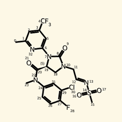 Cc1cc(C(F)(F)F)cc(N2C(=O)N(CC=NS(C)(=O)=O)C[C@H]2C(=O)N(C)c2ccc(F)c(Cl)c2)n1